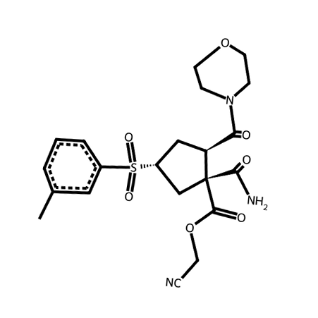 Cc1cccc(S(=O)(=O)[C@@H]2C[C@@H](C(=O)N3CCOCC3)[C@](C(N)=O)(C(=O)OCC#N)C2)c1